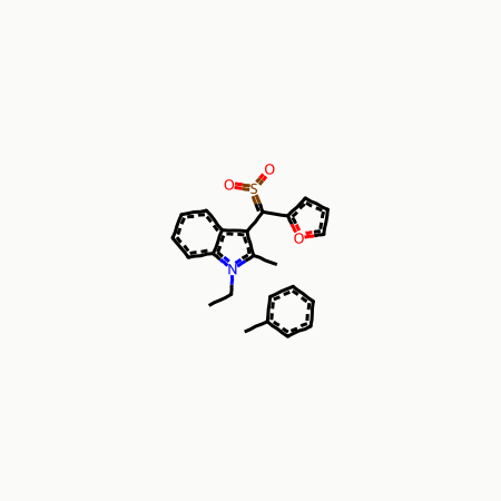 CCn1c(C)c(C(c2ccco2)=S(=O)=O)c2ccccc21.Cc1ccccc1